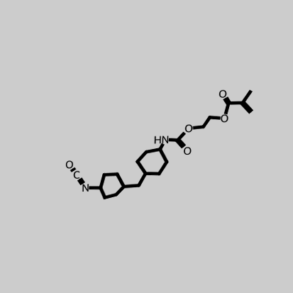 C=C(C)C(=O)OCCOC(=O)NC1CCC(CC2CCC(N=C=O)CC2)CC1